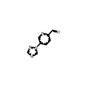 O=Cc1ccc(-n2cncn2)cn1